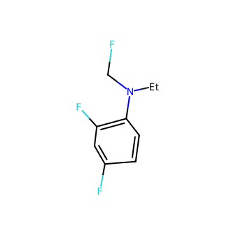 CCN(CF)c1ccc(F)cc1F